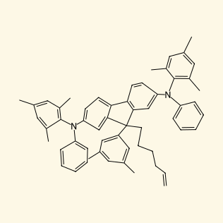 C=CCCCCC1(c2cc(C)cc(C)c2)c2cc(N(c3ccccc3)c3c(C)cc(C)cc3C)ccc2-c2ccc(N(c3ccccc3)c3c(C)cc(C)cc3C)cc21